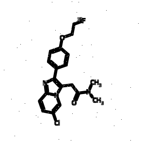 CN(C)C(=O)Cc1c(-c2ccc(OCC[18F])cc2)nc2ccc(Cl)cn12